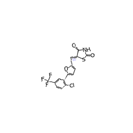 O=C1NC(=O)/C(=C/c2ccc(-c3cc(C(F)(F)F)ccc3Cl)o2)S1